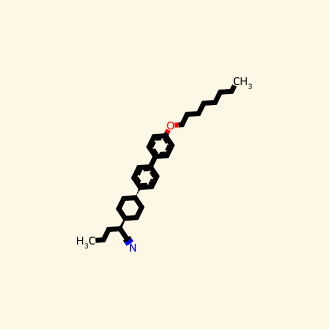 CCCCCCCCOc1ccc(-c2ccc([C@H]3CC[C@H](C(C#N)CCC)CC3)cc2)cc1